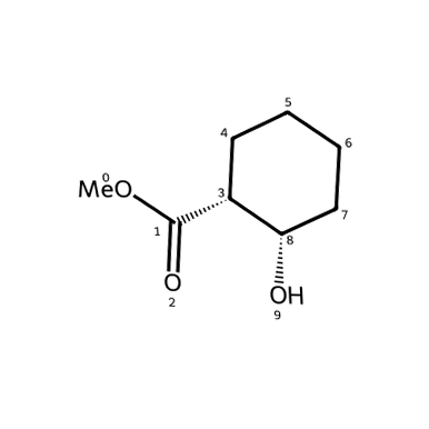 COC(=O)[C@@H]1CCCC[C@@H]1O